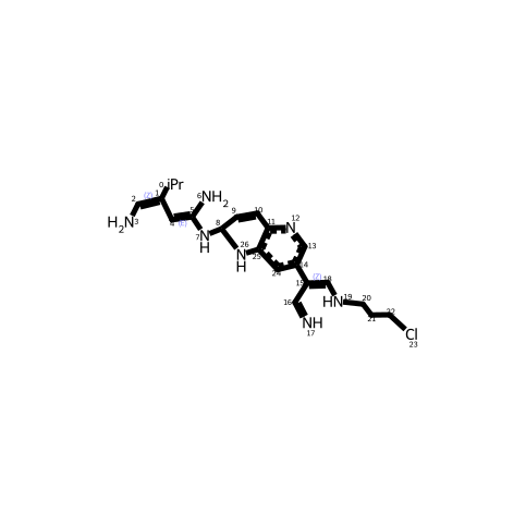 CC(C)C(=C/N)/C=C(\N)NC1C=Cc2ncc(/C(C=N)=C/NCCCCl)cc2N1